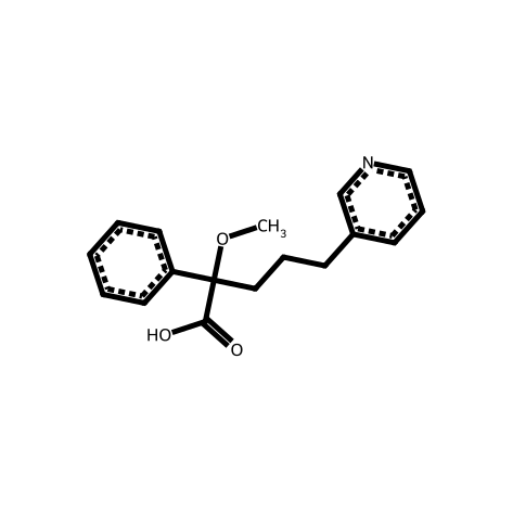 COC(CCCc1cccnc1)(C(=O)O)c1ccccc1